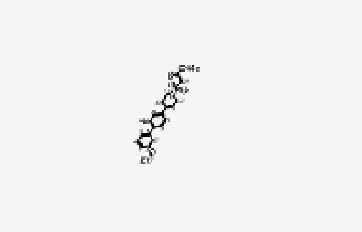 CCOc1cccc(-c2ccc(C3=CCN(S(=O)(=O)CC(=O)OC)CC3)cc2C)c1